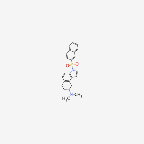 CN(C)C1CCc2ccc3c(ccn3S(=O)(=O)c3ccc4ccccc4c3)c2C1